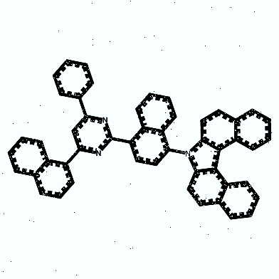 c1ccc(-c2cc(-c3cccc4ccccc34)nc(-c3ccc(-n4c5ccc6ccccc6c5c5c6ccccc6ccc54)c4ccccc34)n2)cc1